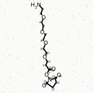 NCCOCCOCCOCCOCCC(=O)ON1C(=O)CCC1=O